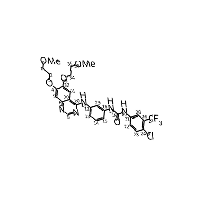 COCCOc1cc2ncnc(Nc3cccc(NC(=O)Nc4ccc(Cl)c(C(F)(F)F)c4)c3)c2cc1OCCOC